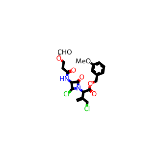 C=C(CCl)C(C(=O)OCc1cccc(OC)c1)N1C(=O)C(NC(=O)CCOC=O)C1Cl